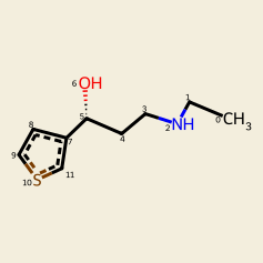 CCNCC[C@@H](O)c1ccsc1